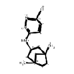 CC12CC[C@](C)(C[C@@H](Nc3ccc(Cl)nn3)C1)C2